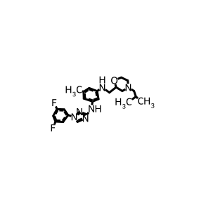 Cc1cc(NCC2CN(CC(C)C)CCO2)cc(Nc2ncn(-c3cc(F)cc(F)c3)n2)c1